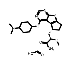 CO[C@H](C[C@H]1CCc2sc3ncnc(OC4CCC(N(C)C)CC4)c3c21)C(N)=O.O=CO